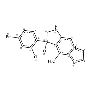 Cc1c2c(cn3ccnc13)NC[N+]2([O-])c1ccc(Br)cc1Cl